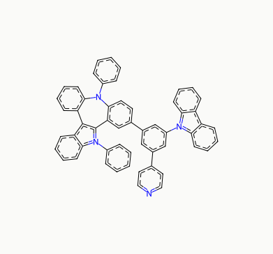 c1ccc(N2c3ccccc3-c3c(n(-c4ccccc4)c4ccccc34)-c3cc(-c4cc(-c5ccncc5)cc(-n5c6ccccc6c6ccccc65)c4)ccc32)cc1